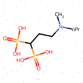 CCCN(C)CCC(P(=O)(O)O)P(=O)(O)O